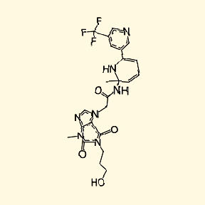 Cn1c(=O)n(CCCO)c(=O)c2c1ncn2CC(=O)NC1(C)C=CC=C(c2cncc(C(F)(F)F)c2)N1